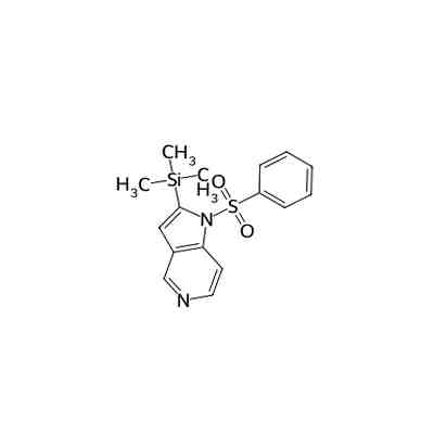 C[Si](C)(C)c1cc2cnccc2n1S(=O)(=O)c1ccccc1